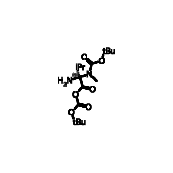 CC(C)[C@@](N)(C(=O)OC(=O)OC(C)(C)C)N(C)C(=O)OC(C)(C)C